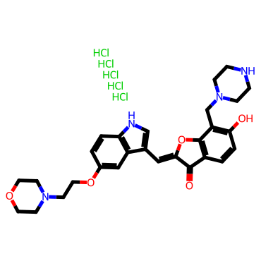 Cl.Cl.Cl.Cl.Cl.O=C1/C(=C/c2c[nH]c3ccc(OCCN4CCOCC4)cc23)Oc2c1ccc(O)c2CN1CCNCC1